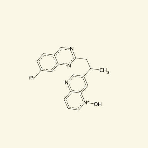 CC(C)c1ccc2cnc(CC(C)c3cnc4ccc[n+](O)c4c3)nc2c1